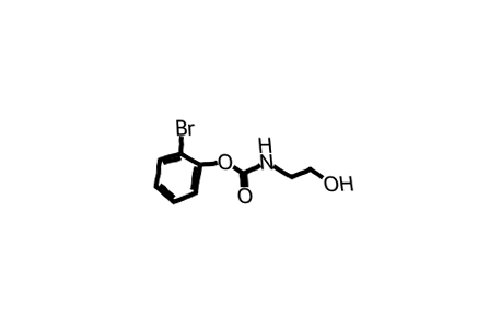 O=C(NCCO)Oc1ccccc1Br